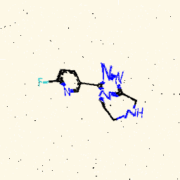 Fc1ccc(-c2nnc3n2CCNC3)cn1